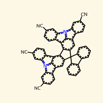 N#Cc1ccc2c3cc4c(c5c6ccc(C#N)cc6n(c2c1)c35)-c1c(cc2c3ccc(C#N)cc3n3c5cc(C#N)ccc5c1c23)C41c2ccccc2-c2ccccc21